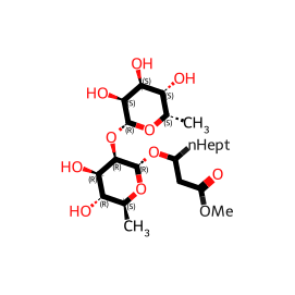 CCCCCCCC(CC(=O)OC)O[C@@H]1O[C@@H](C)[C@H](O)[C@@H](O)[C@H]1O[C@H]1O[C@@H](C)[C@@H](O)[C@H](O)[C@@H]1O